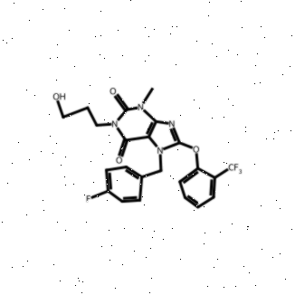 Cn1c(=O)n(CCCO)c(=O)c2c1nc(Oc1ccccc1C(F)(F)F)n2Cc1ccc(F)cc1